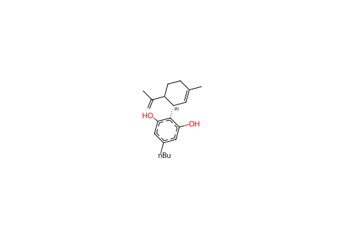 C=C(C)C1CCC(C)=C[C@@H]1c1c(O)cc(CCCC)cc1O